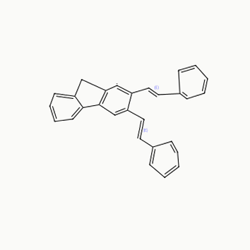 [c]1c(/C=C/c2ccccc2)c(/C=C/c2ccccc2)cc2c1Cc1ccccc1-2